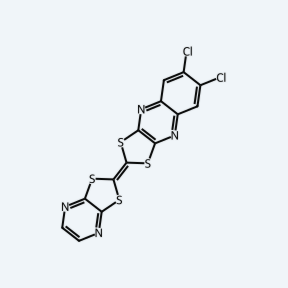 Clc1cc2nc3c(nc2cc1Cl)SC(=C1Sc2nccnc2S1)S3